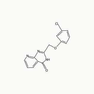 O=c1[nH]c(COc2cccc(Cl)c2)nc2ncccc12